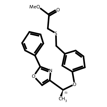 COC(=O)CSCc1cccc(O[C@@H](C)c2coc(-c3ccccc3)n2)c1